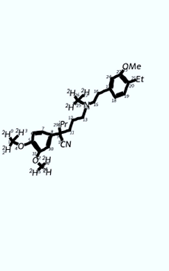 [2H]C([2H])([2H])Oc1ccc(C(C#N)(CCCN(CCc2ccc(CC)c(OC)c2)C([2H])([2H])[2H])C(C)C)cc1OC([2H])([2H])[2H]